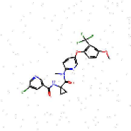 COc1ccc(Oc2ccc(N(C)C(=O)C3(NC(=O)c4cncc(Cl)c4)CC3)nc2)c(C(F)(F)F)c1